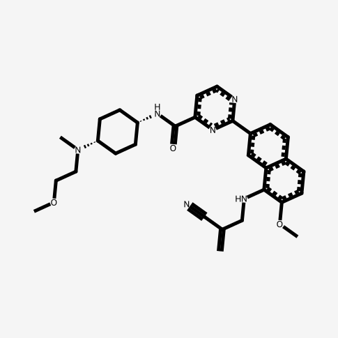 C=C(C#N)CNc1c(OC)ccc2ccc(-c3nccc(C(=O)N[C@H]4CC[C@@H](N(C)CCOC)CC4)n3)cc12